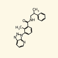 Cc1c(C(=O)NCC(C)c2ccccc2)cccc1-n1nnc2cccnc21